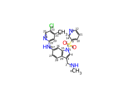 CNCc1cn(S(=O)(=O)c2cccnc2)c2cc(Nc3cc(C)c(Cl)cn3)ccc12